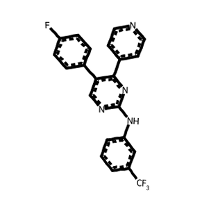 Fc1ccc(-c2cnc(Nc3cccc(C(F)(F)F)c3)nc2-c2ccncc2)cc1